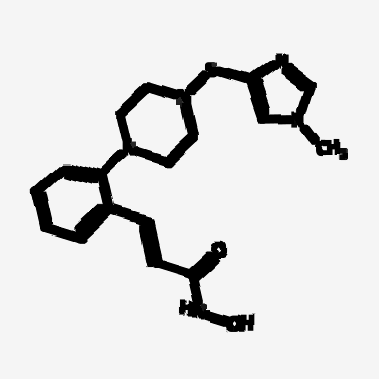 Cn1cnc(SN2CCN(c3ccccc3/C=C/C(=O)NO)CC2)c1